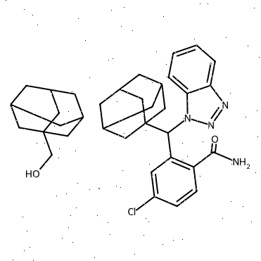 NC(=O)c1ccc(Cl)cc1C(n1nnc2ccccc21)C12CC3CC(CC(C3)C1)C2.OCC12CC3CC(CC(C3)C1)C2